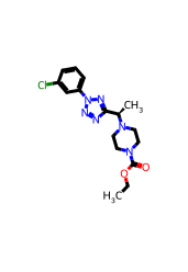 CCOC(=O)N1CCN([C@H](C)c2nnn(-c3cccc(Cl)c3)n2)CC1